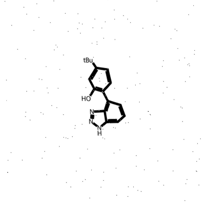 CC(C)(C)c1ccc(-c2cccc3[nH]nnc23)c(O)c1